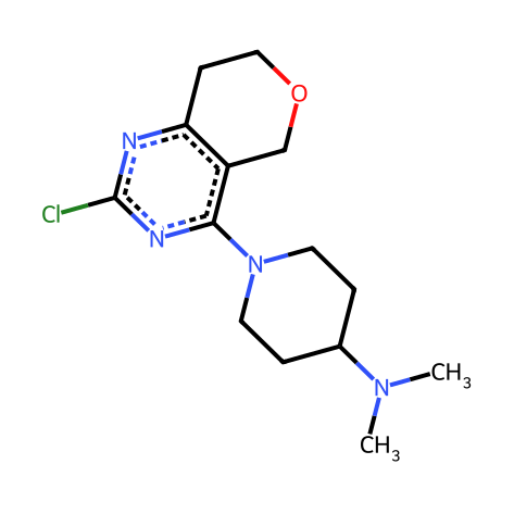 CN(C)C1CCN(c2nc(Cl)nc3c2COCC3)CC1